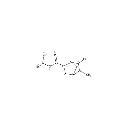 CCC(OC(=O)C1CC2CC1C(C)C2C)C(C)C